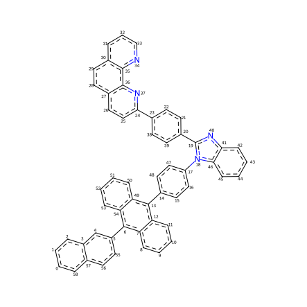 c1ccc2cc(-c3c4ccccc4c(-c4ccc(-n5c(-c6ccc(-c7ccc8ccc9cccnc9c8n7)cc6)nc6ccccc65)cc4)c4ccccc34)ccc2c1